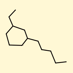 CCCCCC1[CH]CCC(CC)C1